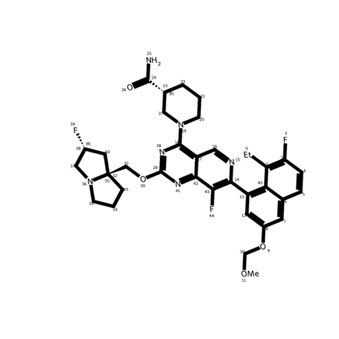 CCc1c(F)ccc2cc(OCOC)cc(-c3ncc4c(N5CCC[C@@H](C(N)=O)C5)nc(OC[C@@]56CCCN5C[C@H](F)C6)nc4c3F)c12